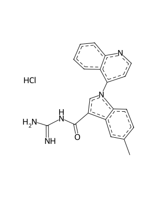 Cc1ccc2c(c1)c(C(=O)NC(=N)N)cn2-c1ccnc2ccccc12.Cl